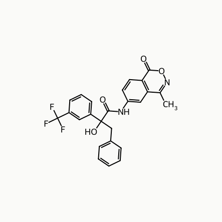 Cc1noc(=O)c2ccc(NC(=O)C(O)(Cc3ccccc3)c3cccc(C(F)(F)F)c3)cc12